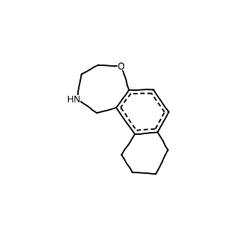 c1cc2c(c3c1CCCC3)CNCCO2